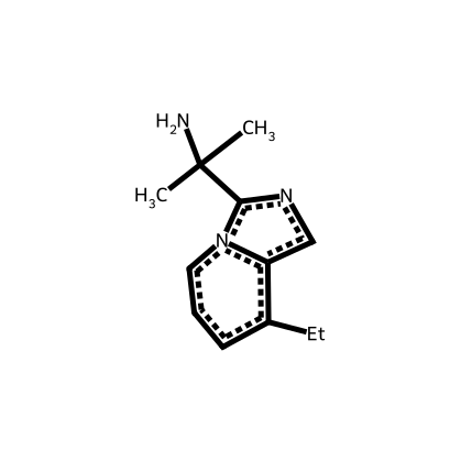 CCc1cccn2c(C(C)(C)N)ncc12